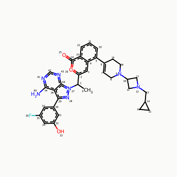 CC(c1cc2c(C3=CCN(C4CN(CC5CC5)C4)CC3)cccc2c(=O)o1)n1nc(-c2cc(O)cc(F)c2)c2c(N)ncnc21